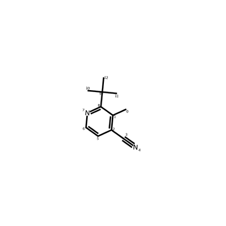 Cc1c(C#N)ccnc1C(C)(C)C